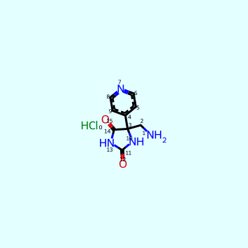 Cl.NCC1(c2ccncc2)NC(=O)NC1=O